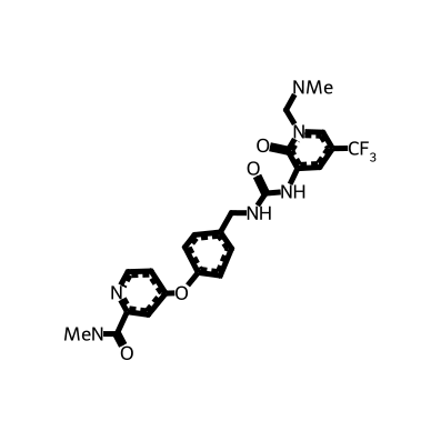 CNCn1cc(C(F)(F)F)cc(NC(=O)NCc2ccc(Oc3ccnc(C(=O)NC)c3)cc2)c1=O